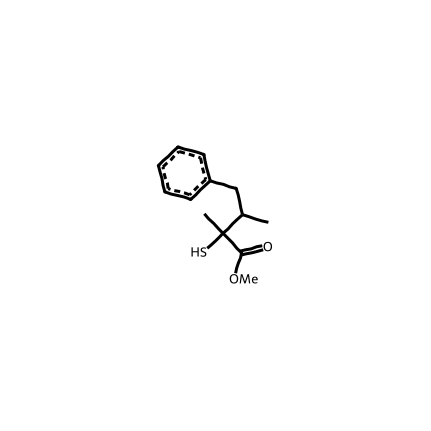 COC(=O)C(C)(S)C(C)Cc1ccccc1